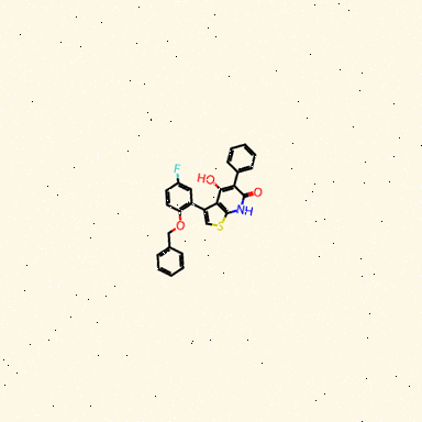 O=c1[nH]c2scc(-c3cc(F)ccc3OCc3ccccc3)c2c(O)c1-c1ccccc1